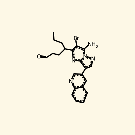 CCCC(CCC=O)c1nc2c(-c3cnc4ccccc4c3)cnn2c(N)c1Br